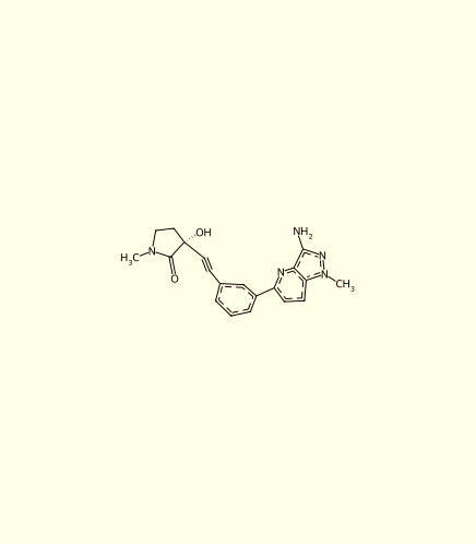 CN1CC[C@@](O)(C#Cc2cccc(-c3ccc4c(n3)c(N)nn4C)c2)C1=O